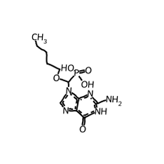 CCCCCOC(n1cnc2c(=O)[nH]c(N)nc21)P(=O)(O)O